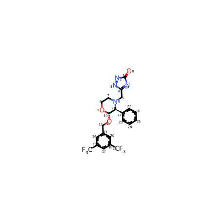 O=C1N=NC(CN2CCO[C@H](OCc3cc(C(F)(F)F)cc(C(F)(F)F)c3)[C@@H]2c2ccccc2)=N1